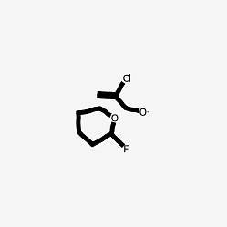 C=C(Cl)C[O].FC1CCCCO1